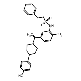 C=C(c1ccc(C)c(NS(=O)(=O)CCc2ccccc2)c1)N1CCC(c2ccc(C#N)cc2)CC1